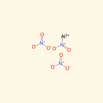 O=[N+]([O-])[Al+2].O=[N+]([O-])[O-].O=[N+]([O-])[O-]